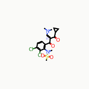 CN(C)/C=C(/C(=O)c1ccc(Cl)c(Cl)c1N(C)S(C)(=O)=O)C(=O)C1CC1